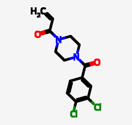 C=CC(=O)N1CCN(C(=O)c2ccc(Cl)c(Cl)c2)CC1